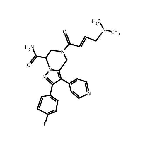 CN(C)C/C=C/C(=O)N1Cc2c(-c3ccncc3)c(-c3ccc(F)cc3)nn2C(C(N)=O)C1